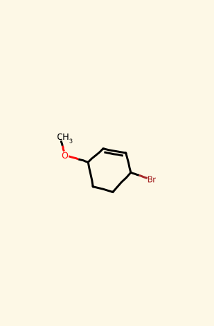 COC1C=CC(Br)CC1